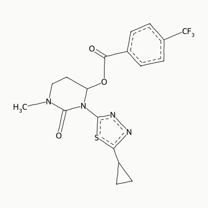 CN1CCC(OC(=O)c2ccc(C(F)(F)F)cc2)N(c2nnc(C3CC3)s2)C1=O